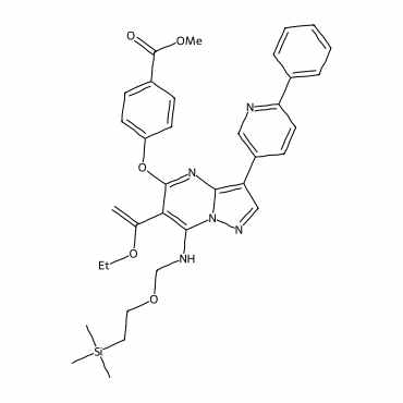 C=C(OCC)c1c(Oc2ccc(C(=O)OC)cc2)nc2c(-c3ccc(-c4ccccc4)nc3)cnn2c1NCOCC[Si](C)(C)C